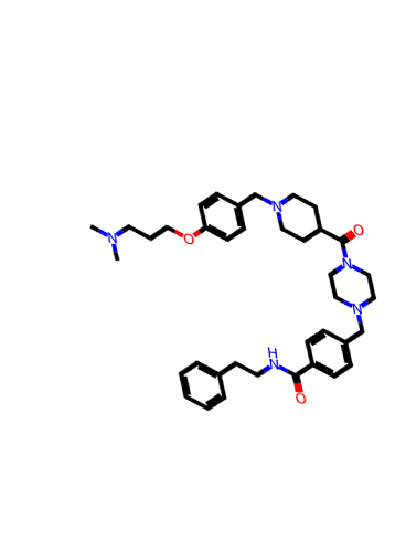 CN(C)CCCOc1ccc(CN2CCC(C(=O)N3CCN(Cc4ccc(C(=O)NCCc5ccccc5)cc4)CC3)CC2)cc1